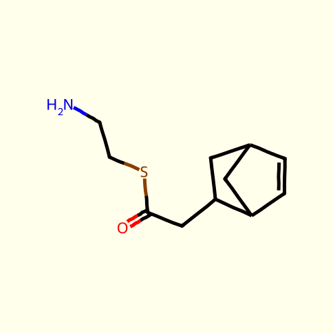 NCCSC(=O)CC1CC2C=CC1C2